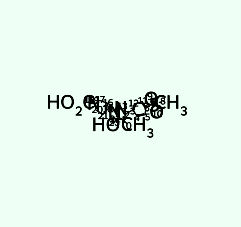 Cc1c(-c2ccc(S(C)(=O)=O)cc2)nn(C2CCN(C(=O)O)CC2)c1O